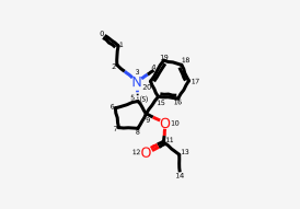 C=CCN(C)[C@H]1CCCC1(OC(=O)CC)c1ccccc1